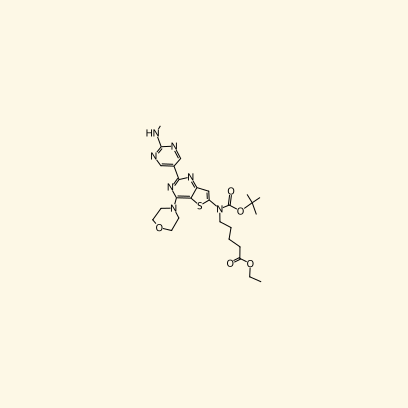 CCOC(=O)CCCCN(C(=O)OC(C)(C)C)c1cc2nc(-c3cnc(NC)nc3)nc(N3CCOCC3)c2s1